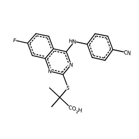 CC(C)(Sc1nc(Nc2ccc(C#N)cc2)c2ccc(F)cc2n1)C(=O)O